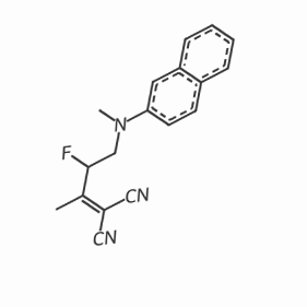 CC(=C(C#N)C#N)C(F)CN(C)c1ccc2ccccc2c1